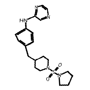 O=S(=O)(N1CCCC1)N1CCC(Cc2ccc(Nc3cnccn3)cc2)CC1